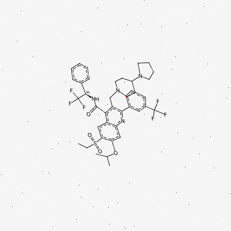 CCS(=O)(=O)c1cc2c(C(=O)N[C@H](c3ccccc3)C(F)(F)F)c(CN3CCC(N4CCCC4)CC3)c(-c3cccc(C(F)(F)F)c3)nc2cc1OC(C)C